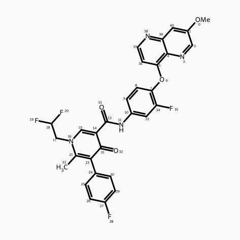 COc1cnc2c(Oc3ccc(NC(=O)c4cn(CC(F)F)c(C)c(-c5ccc(F)cc5)c4=O)cc3F)ccnc2c1